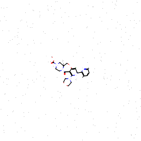 Cc1ccc(C(F)(F)F)c(-c2nc(N3CCOCC3)c3c(c2Cl)OC[C@H]2CN(C(=O)OC(C)(C)C)CCN2C3=O)n1